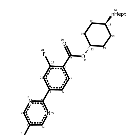 CCCCCCCc1cnc(-c2ccc(C(=O)O[C@H]3CC[C@H](CCCCCCC)CC3)c(F)c2)nc1